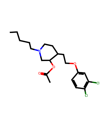 CCCCCN1CCC(CCOc2ccc(Cl)c(Cl)c2)C(OC(C)=O)C1